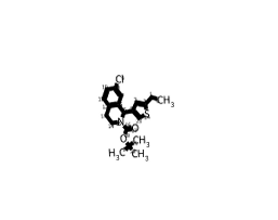 CCc1cc(C2c3cc(Cl)ccc3CCN2C(=O)OC(C)(C)C)cs1